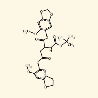 COc1cc2c(cc1OC(=O)CC(NC(=O)OC(C)(C)C)C(=O)Oc1cc3c(cc1OC)OCO3)OCO2